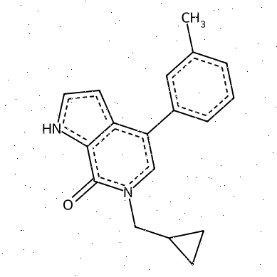 Cc1cccc(-c2cn(CC3CC3)c(=O)c3[nH]ccc23)c1